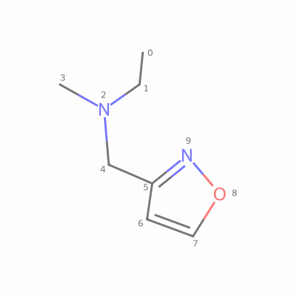 CCN(C)Cc1ccon1